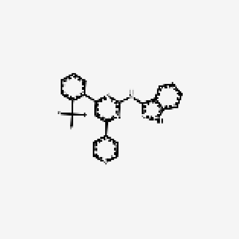 FC(F)(F)c1ccccc1-c1cc(-c2ccncc2)nc(Nc2n[nH]c3ccccc23)n1